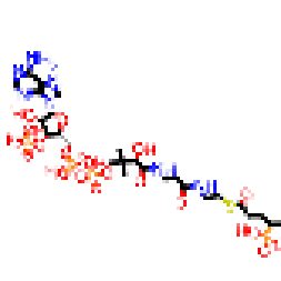 CC(CCC(=O)SCCNC(=O)CCNC(=O)C(O)C(C)(C)COP(=O)(O)OP(=O)(O)OC[C@H]1O[C@@H](n2cnc3c(N)ncnc32)[C@H](O)[C@@H]1OP(=O)(O)O)P(=O)(O)O